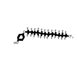 Oc1ccc(OC(F)(F)C(F)(F)C(F)(F)C(F)(F)C(F)(F)C(F)(F)C(F)(F)C(F)(F)C(F)(F)C(F)(F)C(F)(F)C(F)(F)C(F)(F)F)cc1